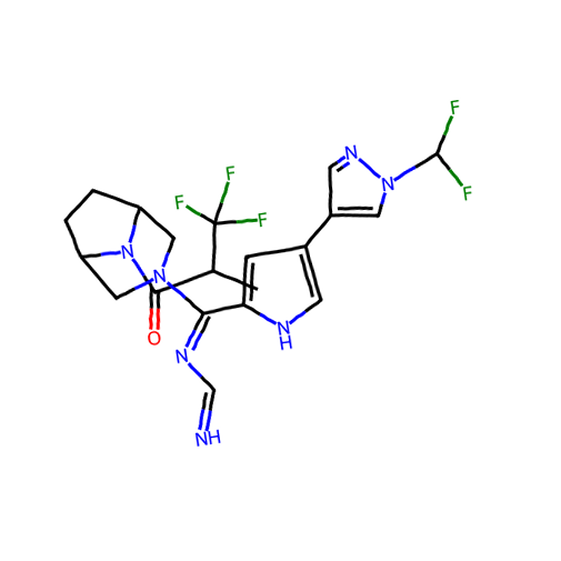 CC(C(=O)N1C2CCC1CN(/C(=N/C=N)c1cc(-c3cnn(C(F)F)c3)c[nH]1)C2)C(F)(F)F